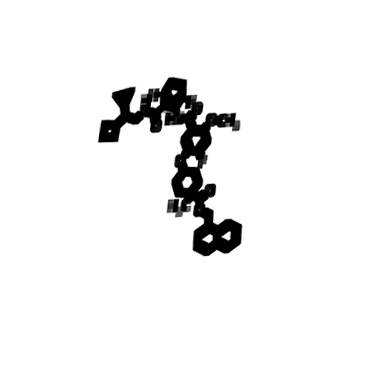 COc1cc(F)c(OC2CCC(C)(C(=O)OCc3cccc4ccccc34)CC2)cc1C(=O)N[C@H]1[C@@H](C(=O)NCC(C2CCC2)C2CC2)[C@H]2C=C[C@@H]1C2